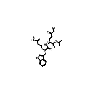 CNC(=O)CCO[C@@H](Cc1c[nH]c2ccccc12)C(=O)N[C@@H](CCC(=O)C=N)C(=O)OC(C)C